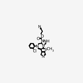 CS1=C2C(=CN(c3ccccc3Cl)CC3N2CNN3C(=O)OCCC#N)C2=C1C=NC2